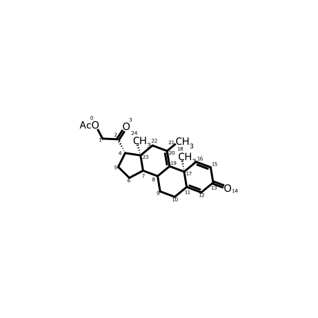 CC(=O)OCC(=O)[C@H]1CCC2C3CCC4=CC(=O)C=C[C@]4(C)C3=C(C)C[C@@]21C